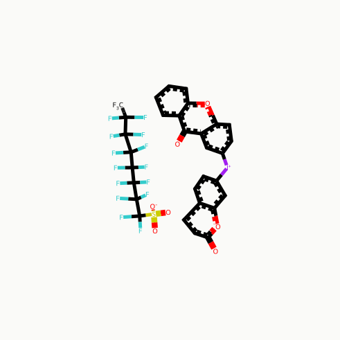 O=S(=O)([O-])C(F)(F)C(F)(F)C(F)(F)C(F)(F)C(F)(F)C(F)(F)C(F)(F)C(F)(F)F.O=c1ccc2ccc([I+]c3ccc4oc5ccccc5c(=O)c4c3)cc2o1